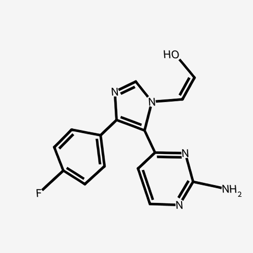 Nc1nccc(-c2c(-c3ccc(F)cc3)ncn2/C=C\O)n1